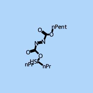 CCCCCOC(=O)N=NC(=O)O[SiH](CCC)CCC